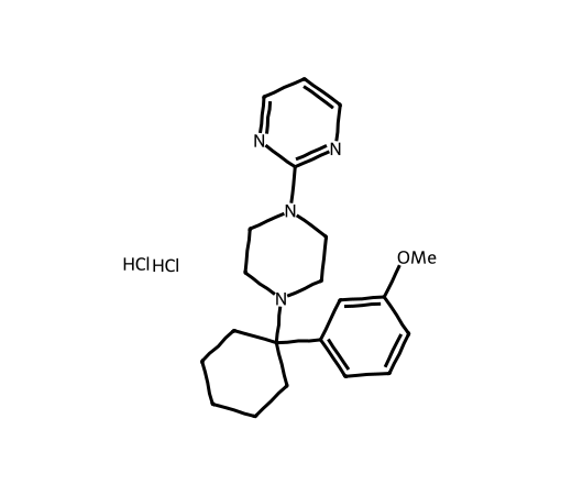 COc1cccc(C2(N3CCN(c4ncccn4)CC3)CCCCC2)c1.Cl.Cl